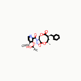 COc1ccnc(C(=O)N[C@H]2COC(=O)[C@@H](Cc3ccccc3)[CH][C@H](C)OC2=O)c1OC(O)C(C)=O